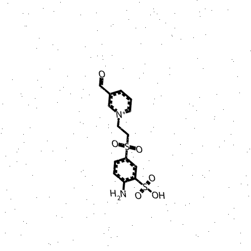 Nc1ccc(S(=O)(=O)CC[n+]2cccc(C=O)c2)cc1S(=O)(=O)O